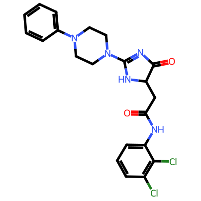 O=C(CC1NC(N2CCN(c3ccccc3)CC2)=NC1=O)Nc1cccc(Cl)c1Cl